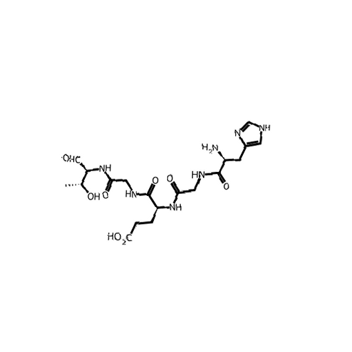 C[C@@H](O)[C@@H]([C]=O)NC(=O)CNC(=O)[C@H](CCC(=O)O)NC(=O)CNC(=O)[C@@H](N)Cc1c[nH]cn1